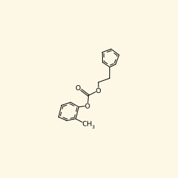 Cc1ccccc1OC(=O)OCCc1ccccc1